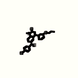 CCCOc1cccc(-c2cc(=O)n(C)c3ccc(C(Cl)c4ccc(Cl)cc4)cc23)c1